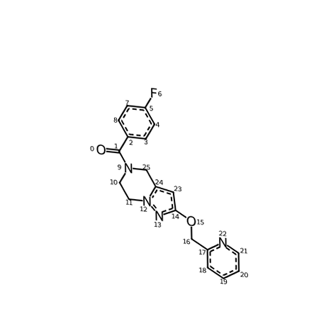 O=C(c1ccc(F)cc1)N1CCn2nc(OCc3ccccn3)cc2C1